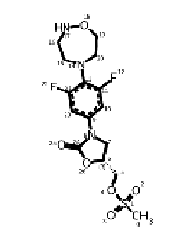 CS(=O)(=O)OC[C@H]1CN(c2cc(F)c(N3CCNOCC3)c(F)c2)C(=O)O1